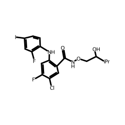 CC(C)C(O)CONC(=O)c1cc(Cl)c(F)cc1Nc1ccc(I)cc1F